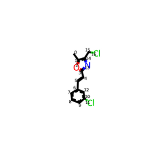 Cc1oc(C=Cc2cccc(Cl)c2)nc1CCl